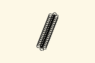 [O]C(Cl)(Cl)C(Cl)(Cl)C(Cl)(Cl)C(Cl)(Cl)C(Cl)(Cl)C(Cl)(Cl)C(Cl)(Cl)C(Cl)(Cl)C(Cl)(Cl)C(Cl)(Cl)C(Cl)(Cl)C(Cl)(Cl)C(Cl)(Cl)C(Cl)(Cl)C(Cl)(Cl)C(Cl)(Cl)C(Cl)(Cl)C(Cl)(Cl)Cl